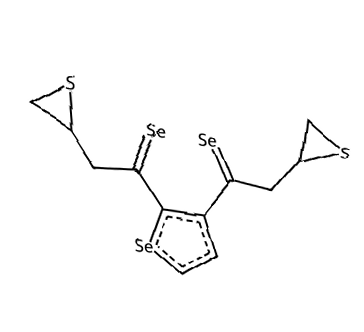 [Se]=C(CC1CS1)c1cc[se]c1C(=[Se])CC1CS1